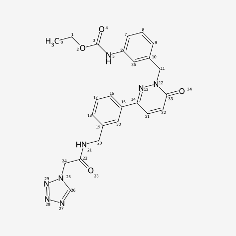 CCOC(=O)Nc1cccc(Cn2nc(-c3cccc(CNC(=O)Cn4cnnn4)c3)ccc2=O)c1